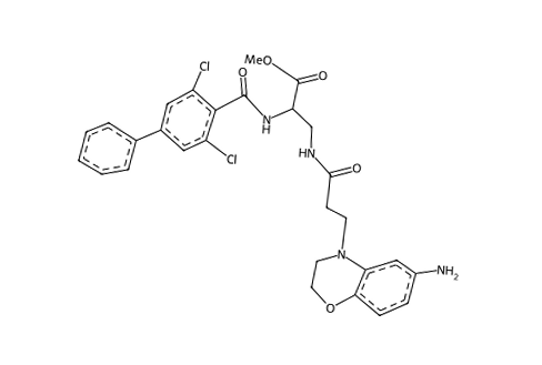 COC(=O)C(CNC(=O)CCN1CCOc2ccc(N)cc21)NC(=O)c1c(Cl)cc(-c2ccccc2)cc1Cl